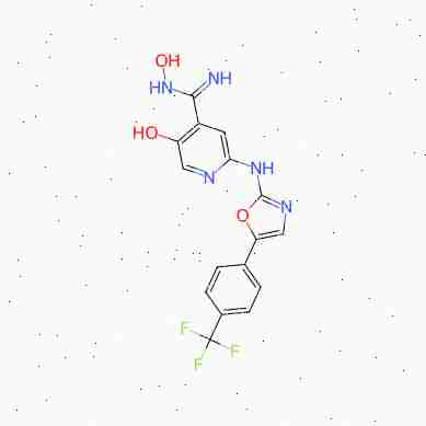 N=C(NO)c1cc(Nc2ncc(-c3ccc(C(F)(F)F)cc3)o2)ncc1O